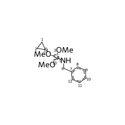 C1CC1.CO[Si](NCc1ccccc1)(OC)OC